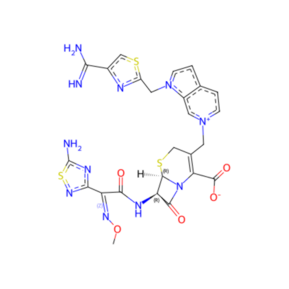 CO/N=C(\C(=O)N[C@@H]1C(=O)N2C(C(=O)[O-])=C(C[n+]3ccc4ccn(Cc5nc(C(=N)N)cs5)c4c3)CS[C@H]12)c1nsc(N)n1